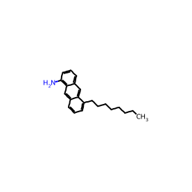 CCCCCCCCc1cccc2cc3c(N)cccc3cc12